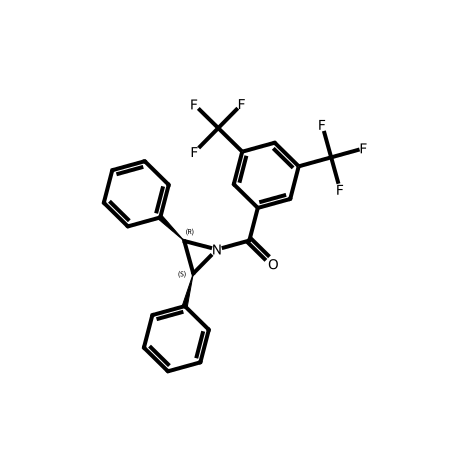 O=C(c1cc(C(F)(F)F)cc(C(F)(F)F)c1)N1[C@H](c2ccccc2)[C@@H]1c1ccccc1